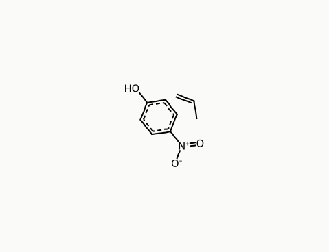 C=CC.O=[N+]([O-])c1ccc(O)cc1